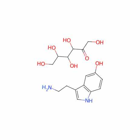 NCCc1c[nH]c2ccc(O)cc12.O=C(CO)C(O)C(O)C(O)CO